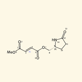 COC(=O)/C=C/C(=O)OC[C@H]1CCC(=O)N1